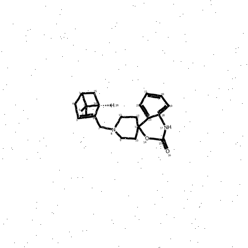 CC1(C)C2CC=C(CN3CCC4(CC3)OC(=O)Nc3ccccc34)[C@@H]1C2